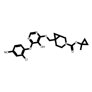 CC1(OC(=O)N2CCC3(COc4ncnc(Oc5ccc(C#N)cc5Cl)c4O)CC3C2)CC1